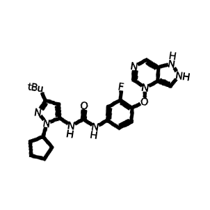 CC(C)(C)c1cc(NC(=O)Nc2ccc(ON3C=NC=C4NNC=C43)c(F)c2)n(C2CCCC2)n1